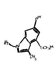 CCCc1cc(C(=O)O)c2c(C)cn(C(C)C)c2c1